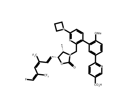 COc1ccc(-c2ccc(C(=O)O)cn2)cc1-c1ccc(N2CCC2)nc1CN1C(=O)O[C@H](/C=C/C(=C\C(=C/F)C(F)(F)F)C(F)(F)F)[C@@H]1C